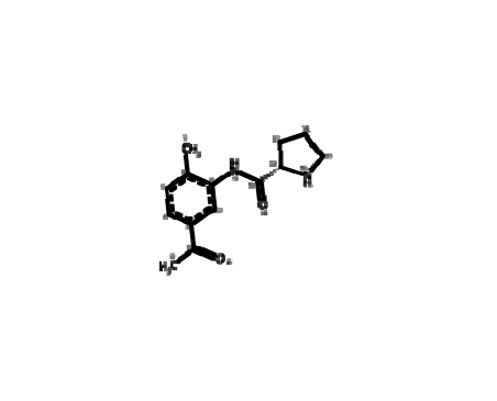 CC(=O)c1ccc(C)c(NC(=O)[C@@H]2CCCN2)c1